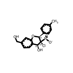 Cc1ccc([C@@H]2Oc3cc(CO)ccc3[C@H](O)[C@@]2(Cl)[N+](=O)[O-])cc1